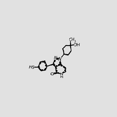 CC1(O)CCC(n2nc(-c3ccc(S)cc3)c3c(=O)[nH]ccc32)CC1